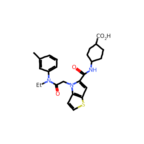 CCN(C(=O)Cn1c(C(=O)NC2CCC(C(=O)O)CC2)cc2sccc21)c1cccc(C)c1